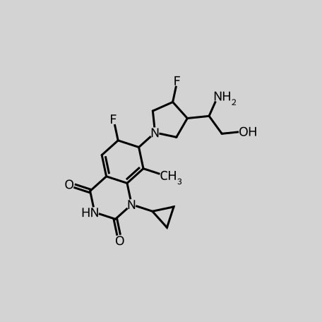 CC1=c2c(c(=O)[nH]c(=O)n2C2CC2)=CC(F)C1N1CC(F)C(C(N)CO)C1